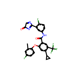 Cc1cc(F)ccc1Oc1cc(C2CC2)c(C(F)(F)F)cc1C(=O)Nc1ccc(F)c(C2=NC(=O)C=N2)c1